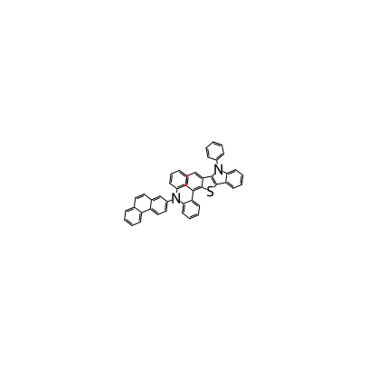 c1ccc(N(c2ccc3c(ccc4ccccc43)c2)c2ccccc2-c2cccc3c2sc2c4ccccc4n(-c4ccccc4)c32)cc1